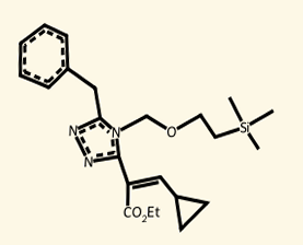 CCOC(=O)C(=CC1CC1)c1nnc(Cc2ccccc2)n1COCC[Si](C)(C)C